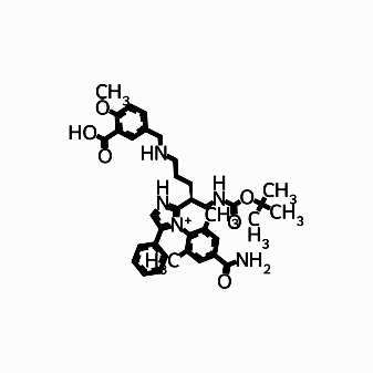 COc1ccc(CNCCC[C@@H](CNC(=O)OC(C)(C)C)c2[nH]cc(-c3ccccc3)[n+]2-c2c(C)cc(C(N)=O)cc2C)cc1C(=O)O